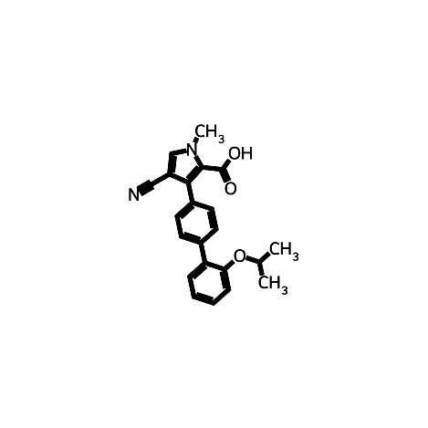 CC(C)Oc1ccccc1-c1ccc(-c2c(C#N)cn(C)c2C(=O)O)cc1